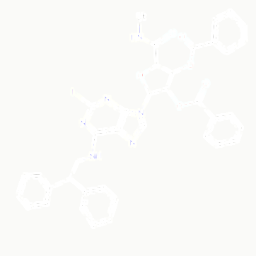 CCNC(=O)C1OC(n2cnc3c(NCC(c4ccccc4)c4ccccc4)nc(I)nc32)C(OC(=O)c2ccccc2)C1OC(=O)c1ccccc1